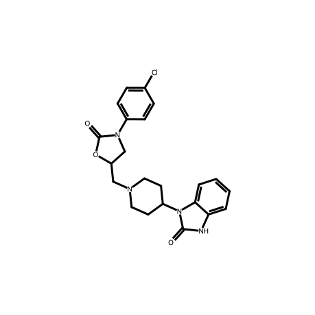 O=C1OC(CN2CCC(n3c(=O)[nH]c4ccccc43)CC2)CN1c1ccc(Cl)cc1